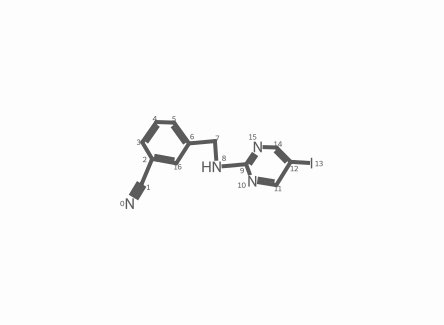 N#Cc1cccc(CNc2ncc(I)cn2)c1